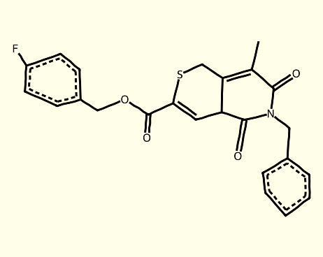 CC1=C2CSC(C(=O)OCc3ccc(F)cc3)=CC2C(=O)N(Cc2ccccc2)C1=O